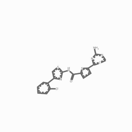 Nc1nccc(-c2ccc(C(=O)Nc3nc(-c4ccccc4Cl)cs3)s2)n1